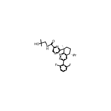 CC(C)[C@H]1CC[C@](C)(c2cncc(C(=O)NCC(C)(C)O)n2)c2nnc(-c3c(F)cccc3F)cc21